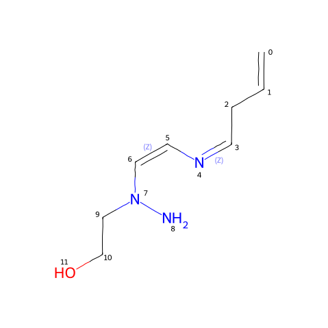 C=CC/C=N\C=C/N(N)CCO